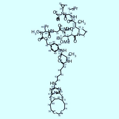 CC[C@H](C)[C@@H]([C@@H](CC(=O)N1CCC[C@H]1[C@H](OC)[C@@H](C)C(=O)N[C@@H](CC(C)C)C(=O)N(C1CC1)[SH](=O)=O)OC)N(C)C(=O)CNC(=O)C(C(C)C)N(C)C(=O)OCc1ccc(NC(=O)[C@H](C)NC(=O)CCCCCNc2nc3nc(n2)SC2CCCCCCCC(CC2)S3)cc1